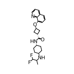 CC(N[C@H]1CC[C@H](NC(=O)[C@H]2C[C@H](Oc3cccc4cccnc34)C2)CC1)C(F)F